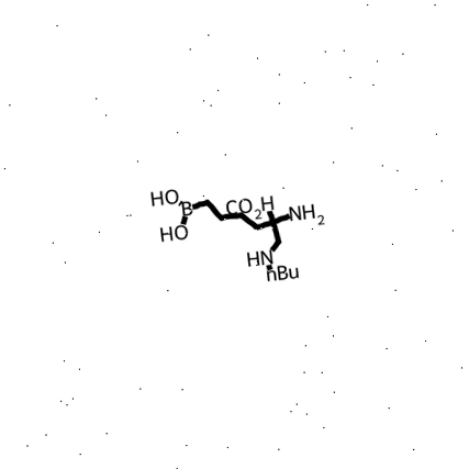 CCCCNCC(N)(CCCCB(O)O)C(=O)O